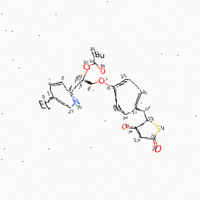 CCc1ccc([C@H](COc2ccc(CC3SC(=O)CC3=O)cc2)OC(=O)C(C)(C)C)nc1